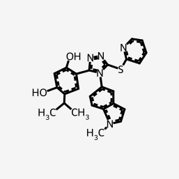 CC(C)c1cc(-c2nnc(Sc3ccccn3)n2-c2ccc3c(ccn3C)c2)c(O)cc1O